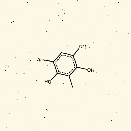 CC(=O)c1cc(O)c(O)c(C)c1O